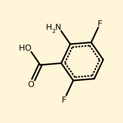 Nc1c(F)ccc(F)c1C(=O)O